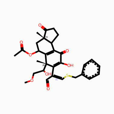 COCC(O)[C@@]1(C)C(/C(C=O)=C\SCc2ccccc2)=C(O)C(=O)C2=C1C(OC(C)=O)C[C@]1(C)C(=O)CCC21